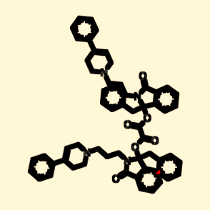 O=C(OC1(Cc2ccccc2)c2ccccc2C(=O)N1CCCN1CC=C(c2ccccc2)CC1)C(=O)OC1(Cc2ccccc2)c2ccccc2C(=O)N1CCCN1CC=C(c2ccccc2)CC1